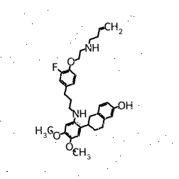 C=CCCNCCOc1ccc(CCCNc2cc(OC)c(OC)cc2C2CCc3cc(O)ccc3C2)cc1F